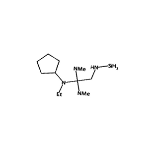 CCN(C1CCCC1)C(CN[SiH3])(NC)NC